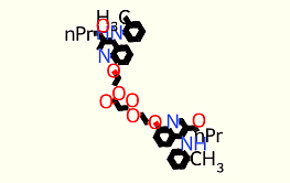 CCCC(=O)c1cnc2c(OCCOC(=O)CC(=O)OCCOc3cccc4c(Nc5ccccc5C)c(C(=O)CCC)cnc34)cccc2c1Nc1ccccc1C